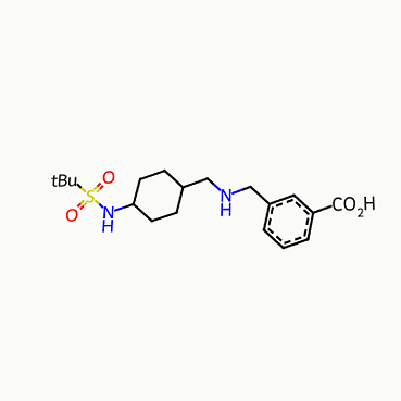 CC(C)(C)S(=O)(=O)NC1CCC(CNCc2cccc(C(=O)O)c2)CC1